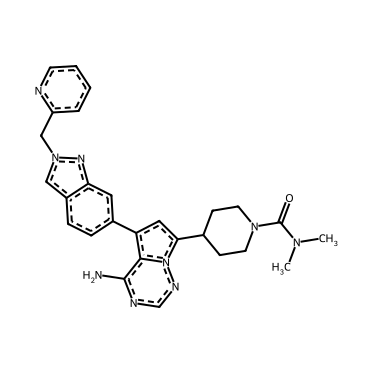 CN(C)C(=O)N1CCC(c2cc(-c3ccc4cn(Cc5ccccn5)nc4c3)c3c(N)ncnn23)CC1